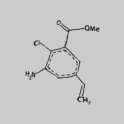 C=Cc1cc(N)c(Cl)c(C(=O)OC)c1